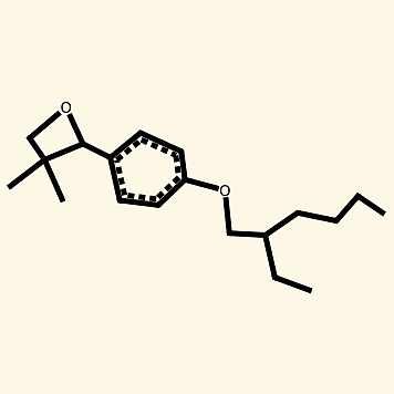 CCCCC(CC)COc1ccc(C2OCC2(C)C)cc1